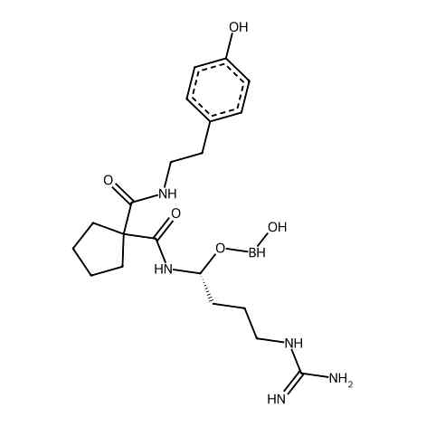 N=C(N)NCCC[C@H](NC(=O)C1(C(=O)NCCc2ccc(O)cc2)CCCC1)OBO